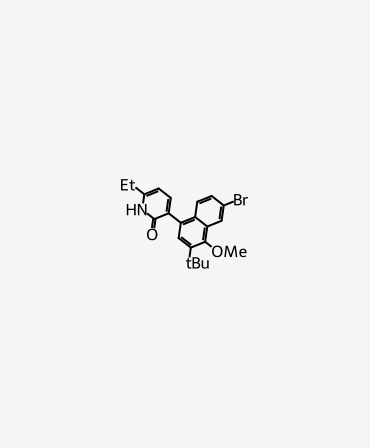 CCc1ccc(-c2cc(C(C)(C)C)c(OC)c3cc(Br)ccc23)c(=O)[nH]1